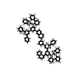 c1ccc(-c2cc(-c3cc(-c4ccc5ccc(-c6cccc(-c7cc(-c8cc(-c9cccc%10ccccc9%10)cc(N9c%10ccccc%10-c%10ccccc%10-n%10c9nc9ccccc9%10)c8)nc(-c8ccccc8)n7)c6)cc5c4)cc(N4c5ccccc5-c5ccccc5-n5c4nc4ccccc45)c3)nc(-c3ccccc3)n2)cc1